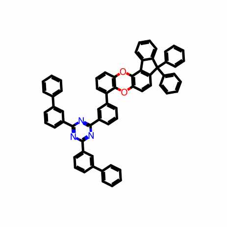 c1ccc(-c2cccc(-c3nc(-c4cccc(-c5ccccc5)c4)nc(-c4cccc(-c5cccc6c5Oc5ccc7c(c5O6)-c5ccccc5C7(c5ccccc5)c5ccccc5)c4)n3)c2)cc1